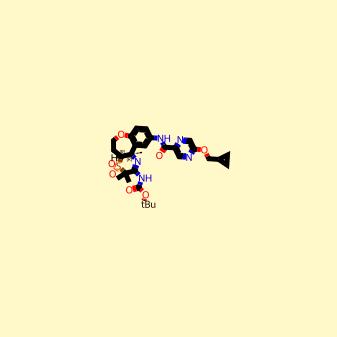 CC(C)(C)OC(=O)NC1=N[C@]2(C)c3cc(NC(=O)c4cnc(OCC5CC5)cn4)ccc3OCC[C@H]2S(=O)(=O)C1(C)C